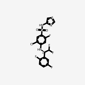 O=S(=O)(Nc1cscn1)c1cc(Cl)c(N[C@H](c2cc(F)ccc2F)C(F)F)cc1F